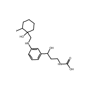 O=C(O)NCCC(O)c1cccc(NCC2(O)CCCCC2I)c1